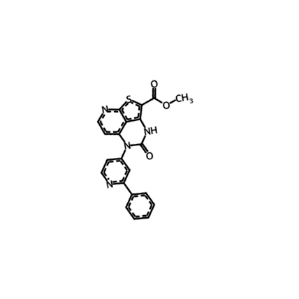 COC(=O)c1sc2nccc3c2c1NC(=O)N3c1ccnc(-c2ccccc2)c1